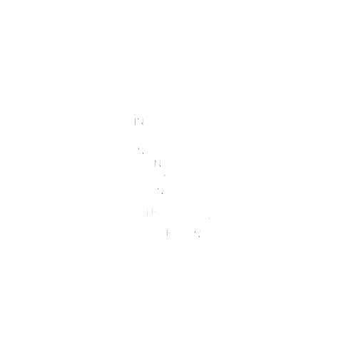 Cc1nc2c(F)c(O)c(-c3ccc4nc(N5CCC(NC6CCC6)C5)ccc4n3)cc2o1